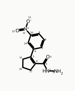 NNC(=O)C1=C(c2cccc([N+](=O)[O-])c2)CCC1